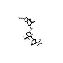 Cc1cc2c(cc1Nc1ncc(C(F)(F)F)c(-c3cc(S(C)(=O)=O)cs3)n1)CNC2